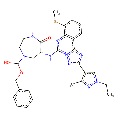 CCn1cc(-c2nc3c4cccc(SC)c4nc(N[C@@H]4CN(C(O)OCc5ccccc5)CCNC4=O)n3n2)c(C)n1